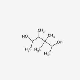 CC(O)C(C)C(C)(C)C(C)O